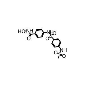 CS(=O)(=O)Nc1ccc(S(=O)(=O)Nc2ccc(C(=O)NO)cc2)cc1